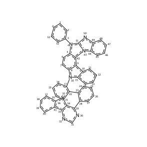 c1ccc(-n2c3ccc4c(c5ccccc5n4-c4ccccc4-c4ccccc4-c4ncnc5c4sc4ccccc45)c3n3c4ccccc4nc23)cc1